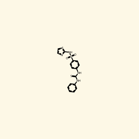 O=S(=O)(Nc1nccs1)c1ccc(NC(=S)Nc2ccccc2)cc1